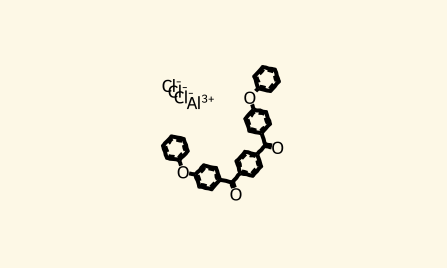 O=C(c1ccc(Oc2ccccc2)cc1)c1ccc(C(=O)c2ccc(Oc3ccccc3)cc2)cc1.[Al+3].[Cl-].[Cl-].[Cl-]